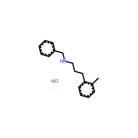 Cc1ccccc1CCCNCc1ccccc1.Cl